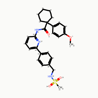 COc1ccc(C2(C(=O)Nc3cccc(-c4ccc(CNS(C)(=O)=O)cc4)n3)CCCCC2)cc1